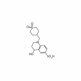 O=S1(=O)CCC(CN2CCC(O)c3cc(S(=O)(=O)O)ccc32)CC1